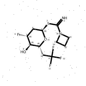 N=C(S[C@@H]1C[C@@H](F)[C@H](O)[C@@H](CC(F)(F)F)O1)N1CCC1